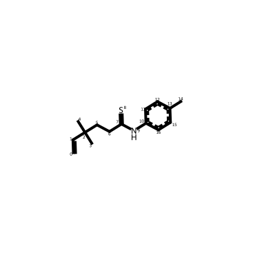 C=CC(C)(C)CCC(=S)Nc1ccc(C)cc1